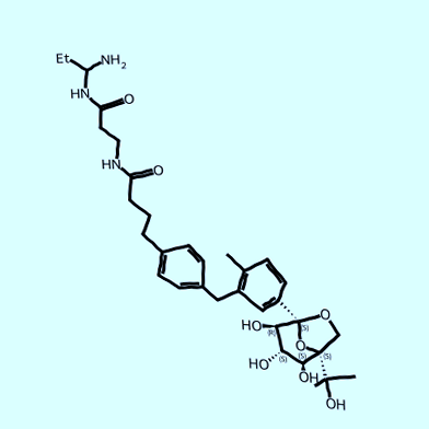 CCC(N)NC(=O)CCNC(=O)CCCc1ccc(Cc2cc([C@]34OC[C@](C(C)(C)O)(O3)[C@@H](O)[C@H](O)[C@H]4O)ccc2C)cc1